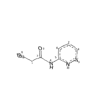 CC(C)(C)CC(=O)Nc1cccnn1